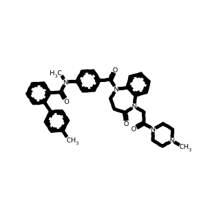 Cc1ccc(-c2ccccc2C(=O)N(C)c2ccc(C(=O)N3CCC(=O)N(CC(=O)N4CCN(C)CC4)c4ccccc43)cc2)cc1